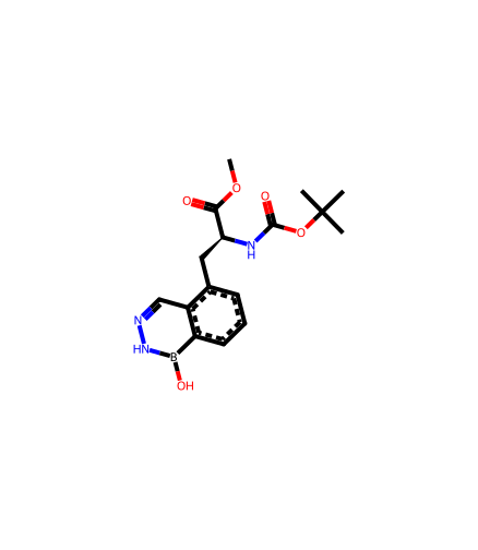 COC(=O)[C@H](Cc1cccc2c1C=NNB2O)NC(=O)OC(C)(C)C